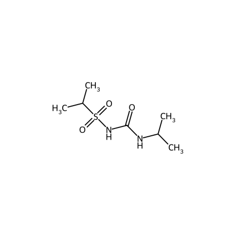 CC(C)NC(=O)NS(=O)(=O)C(C)C